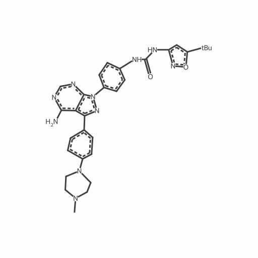 CN1CCN(c2ccc(-c3nn(-c4ccc(NC(=O)Nc5cc(C(C)(C)C)on5)cc4)c4ncnc(N)c34)cc2)CC1